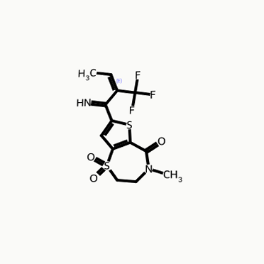 C/C=C(\C(=N)c1cc2c(s1)C(=O)N(C)CCS2(=O)=O)C(F)(F)F